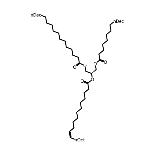 CCCCCCCC/C=C\CCCCCCCCCC(=O)O[C@H](COC(=O)CCCCCCCCCCCCCCCCC)COC(=O)CCCCCCCCCCCCCCCCCCCCC